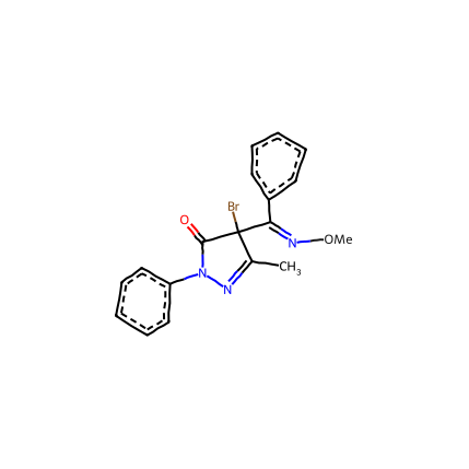 CO/N=C(\c1ccccc1)C1(Br)C(=O)N(c2ccccc2)N=C1C